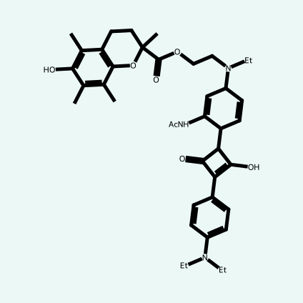 CCN(CC)c1ccc(C2=C(O)C(C3C=CC(N(CC)CCOC(=O)C4(C)CCc5c(C)c(O)c(C)c(C)c5O4)C=C3NC(C)=O)C2=O)cc1